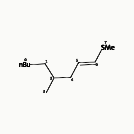 CCCCCC(C)C/C=C/SC